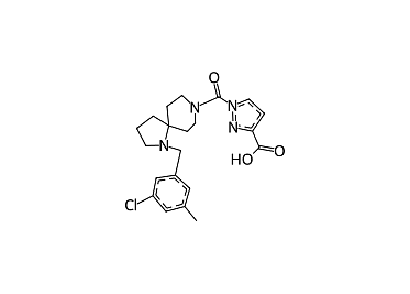 Cc1cc(Cl)cc(CN2CCCC23CCN(C(=O)n2ccc(C(=O)O)n2)CC3)c1